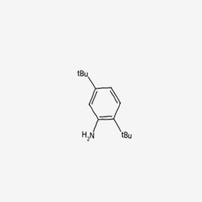 CC(C)(C)c1ccc(C(C)(C)C)c(N)c1